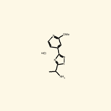 COc1cc(-c2nsc(C(C)N)n2)ccn1.Cl